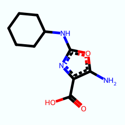 Nc1oc(NC2CCCCC2)nc1C(=O)O